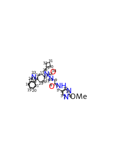 COc1ncc(CNC(=O)CN2C[C@]3(CC[C@](c4ccccc4)(N(C)C)CC3)N(CC3CCC3)C2=O)cn1